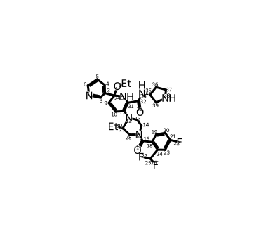 CCOC1(c2cccnc2)C=CC(N2CCN(C(=O)c3ccc(F)cc3C(F)F)C[C@H]2CC)=C(C(=O)N[C@@H]2CCNC2)N1